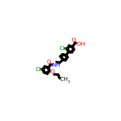 CCCCOc1ccc(Cl)cc1C(=O)NCCc1ccc(-c2ccc(C(=O)O)cc2Cl)cc1